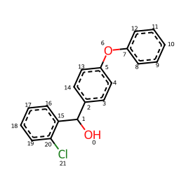 OC(c1ccc(Oc2ccccc2)cc1)c1ccccc1Cl